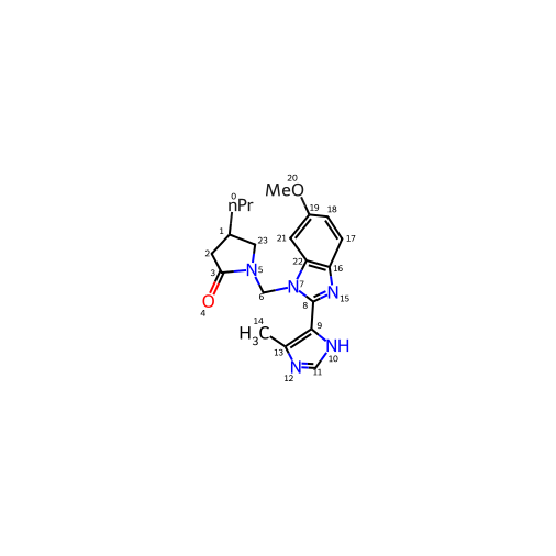 CCCC1CC(=O)N(Cn2c(-c3[nH]cnc3C)nc3ccc(OC)cc32)C1